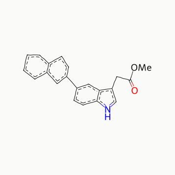 COC(=O)Cc1c[nH]c2ccc(-c3ccc4ccccc4c3)cc12